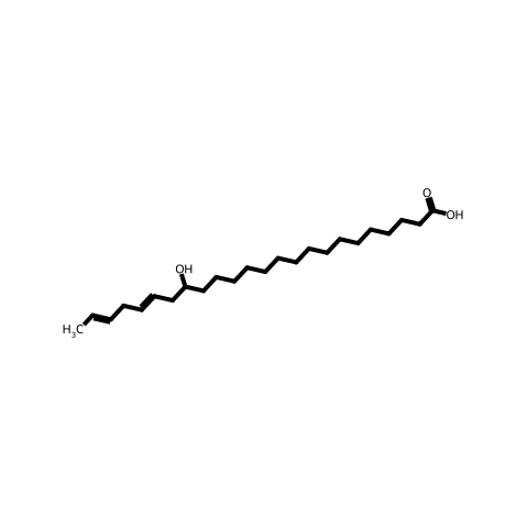 CC=CCC=CCC(O)CCCCCCCCCCCCCCCC(=O)O